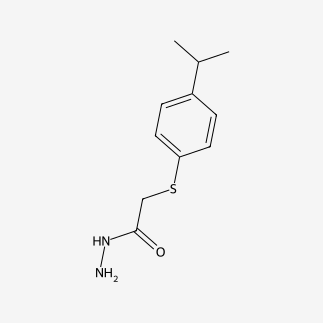 CC(C)c1ccc(SCC(=O)NN)cc1